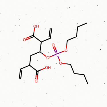 C=CC(CC(OP(=O)(OCCCC)OCCCC)C(C=C)C(=O)O)C(=O)O